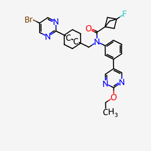 CCOc1ncc(-c2cccc(N(CC34CCC(c5ncc(Br)cn5)(CC3)CC4)C(=O)C34CC(F)(C3)C4)c2)cn1